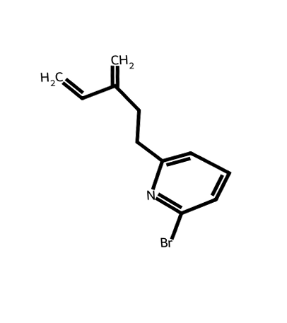 C=CC(=C)CCc1cccc(Br)n1